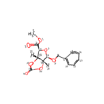 COC(=O)[C@H]1O[C@@H](OCc2ccccc2)[C@@H]2OC(=O)O[C@@H]21